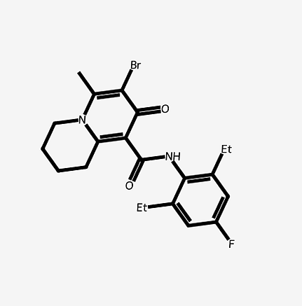 CCc1cc(F)cc(CC)c1NC(=O)c1c2n(c(C)c(Br)c1=O)CCCC2